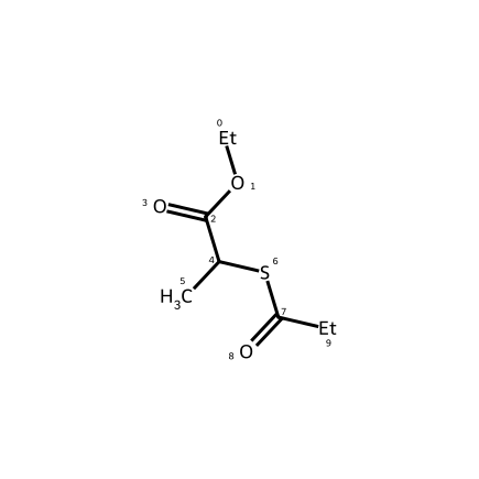 CCOC(=O)C(C)SC(=O)CC